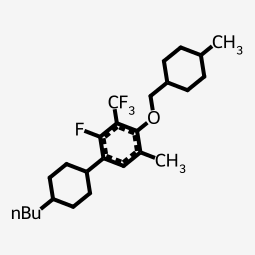 CCCCC1CCC(c2cc(C)c(OCC3CCC(C)CC3)c(C(F)(F)F)c2F)CC1